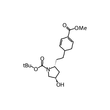 COC(=O)C1=CCC(CC[C@@H]2C[C@@H](O)CN2C(=O)OC(C)(C)C)C=C1